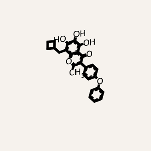 Cc1oc2c(CC3CCC3)c(O)c(O)c(O)c2c(=O)c1-c1ccc(Oc2ccccc2)cc1